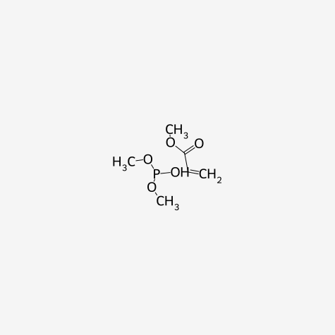 C=CC(=O)OC.COP(O)OC